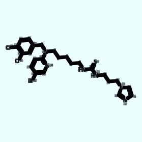 S=C(NCCCCCN(Cc1ccc(Cl)c(Cl)c1)c1ccc(Br)cn1)NCCCn1ccnc1